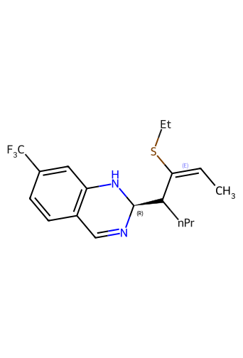 C/C=C(/SCC)C(CCC)[C@H]1N=Cc2ccc(C(F)(F)F)cc2N1